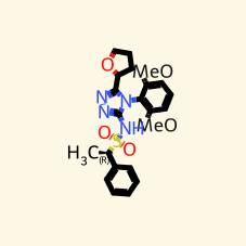 COc1cccc(OC)c1-n1c(NS(=O)(=O)[C@H](C)c2ccccc2)nnc1C1CCCO1